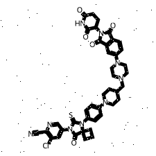 N#Cc1ncc(N2C(=O)C3(CCC3)N(c3ccc(N4CCC(CN5CCN(c6ccc7c(c6)C(=O)N(C6CCC(=O)NC6=O)C7=O)CC5)CC4)cc3)C2=S)cc1Cl